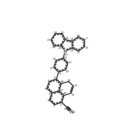 N#Cc1ccc2ccc(-c3ccc(-n4c5ccccc5c5ccccc54)cc3)c3c2c1C=CC3